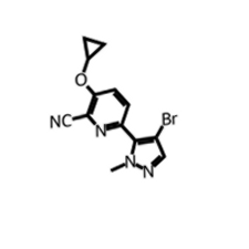 Cn1ncc(Br)c1-c1ccc(OC2CC2)c(C#N)n1